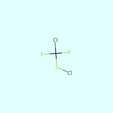 FC(F)(Cl)SCl